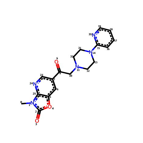 Cn1c(=O)oc2cc(C(=O)CN3CCN(c4ccccn4)CC3)cnc21